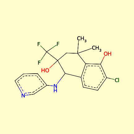 CC1(C)CC(O)(C(F)(F)F)C(Nc2cccnc2)c2ccc(Cl)c(O)c21